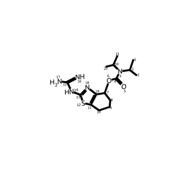 CC(C)N(C(=O)OC1CCCc2sc(NC(=N)N)nc21)C(C)C